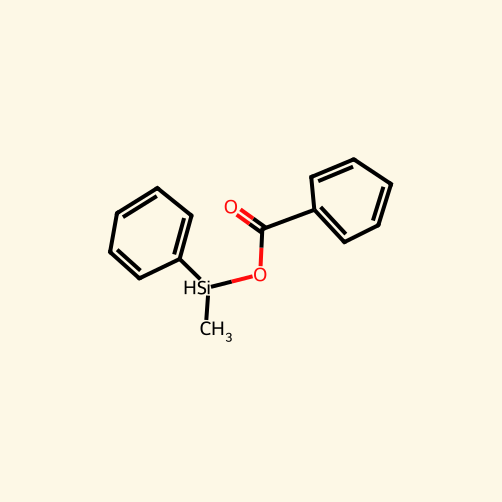 C[SiH](OC(=O)c1ccccc1)c1ccccc1